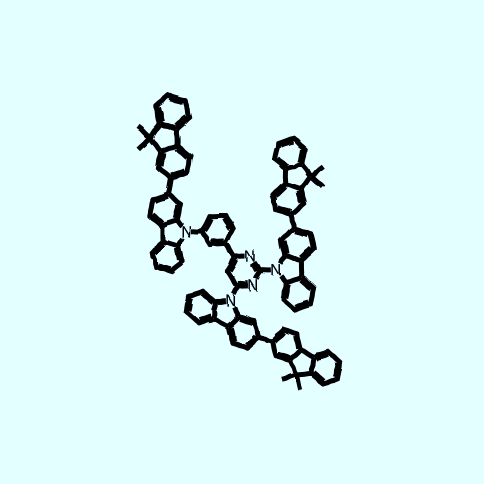 CC1(C)c2ccccc2-c2ccc(-c3ccc4c5ccccc5n(-c5cccc(-c6cc(-n7c8ccccc8c8ccc(-c9ccc%10c(c9)C(C)(C)c9ccccc9-%10)cc87)nc(-n7c8ccccc8c8ccc(-c9ccc%10c(c9)C(C)(C)c9ccccc9-%10)cc87)n6)c5)c4c3)cc21